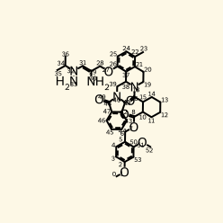 COc1ccc(COC(=O)C2CCCCC2C(=O)N2CCc3c(C)ccc(OC/C(N)=C/N(N)C(C)C)c3C2CN2Cc3ccccc3C2=O)c(OC)c1